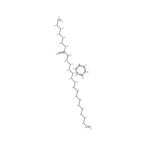 CCCCCCCCCCCCCCCCOC(=O)CCCCCCC.c1ccncc1